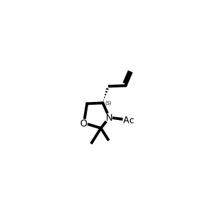 [CH2]C(=O)N1[C@@H](CC=C)COC1(C)C